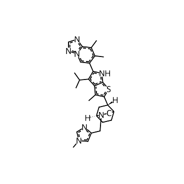 Cc1c(-c2[nH]c3sc([C@H]4C[C@@H]5CCC4CN5Cc4cn(C)cn4)c(C)c3c2C(C)C)cn2ncnc2c1C